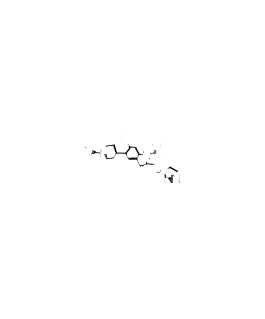 N#CN1CC=C(c2cc3c(cc2F)N2C(=O)O[C@@H](Cn4ccnn4)[C@@H]2C3)CC1